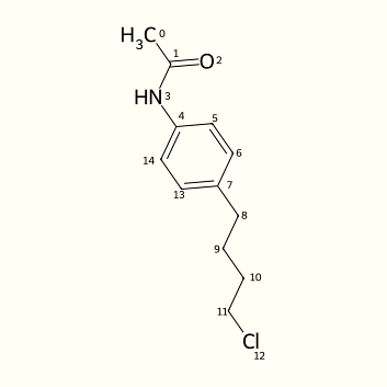 CC(=O)Nc1ccc(CCCCCl)cc1